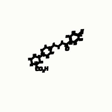 O=C(CCCN1CCN(C2CCCC(C(=O)O)C2)CC1)c1ccc(F)cc1